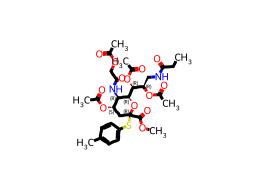 CCC(=O)NC[C@@H](OC(C)=O)[C@@H](OC(C)=O)[C@@H]1O[C@](Sc2ccc(C)cc2)(C(=O)OC)C[C@H](OC(C)=O)[C@H]1NC(=O)COC(C)=O